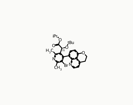 Cc1nc(C)c([C@H](OC(C)(C)C)C(=O)OC(C)C)c(-c2ccc3c4c(ccnc24)CCO3)c1Br